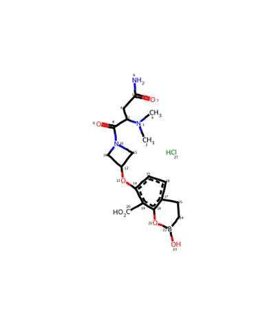 CN(C)C(CC(N)=O)C(=O)N1CC(Oc2ccc3c(c2C(=O)O)OB(O)CC3)C1.Cl